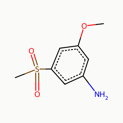 COc1cc(N)cc(S(C)(=O)=O)c1